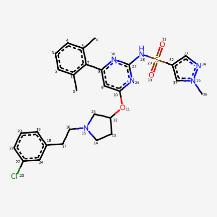 Cc1cccc(C)c1-c1cc(OC2CCN(CCc3cccc(Cl)c3)C2)nc(NS(=O)(=O)c2cnn(C)c2)n1